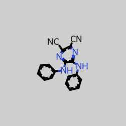 N#Cc1nc(Nc2ccccc2)c(Nc2ccccc2)nc1C#N